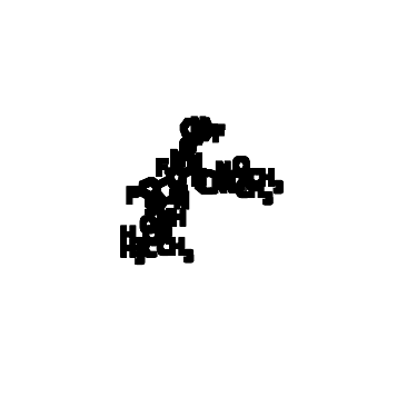 CN(C)C(=O)c1nc2n(n1)CCCN(c1nc(OC[C@@]34CCCN3C[C@H](F)C4)nc3c(F)c(-c4ccc(F)c5sc(NC(=O)OC(C)(C)C)c(C#N)c45)c(Cl)cc13)C2